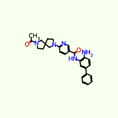 CC(=O)N1CCC2(CCN(c3ccc(C(=O)Nc4cc(-c5ccccc5)ccc4N)cn3)C2)C1